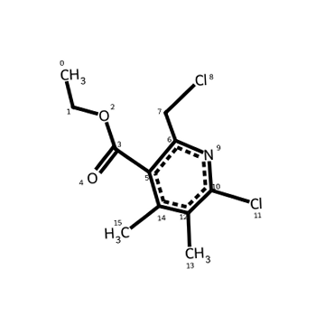 CCOC(=O)c1c(CCl)nc(Cl)c(C)c1C